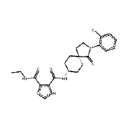 CCNC(=O)c1nc[nH]c1C(=O)N[C@H]1CC[C@@]2(CCN(c3ccccc3Cl)C2=O)CC1